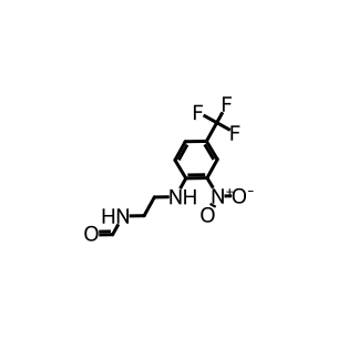 O=CNCCNc1ccc(C(F)(F)F)cc1[N+](=O)[O-]